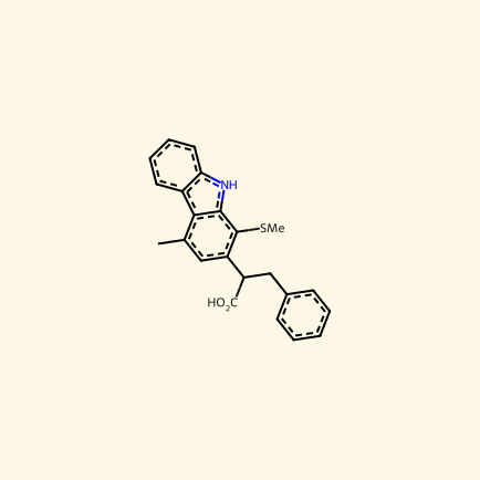 CSc1c(C(Cc2ccccc2)C(=O)O)cc(C)c2c1[nH]c1ccccc12